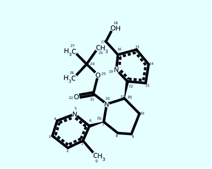 Cc1cccnc1[C@@H]1CCC[C@H](c2cccc(CO)n2)N1C(=O)OC(C)(C)C